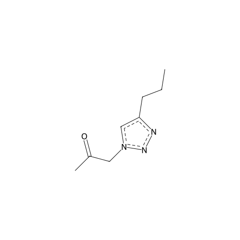 CCCc1cn(CC(C)=O)nn1